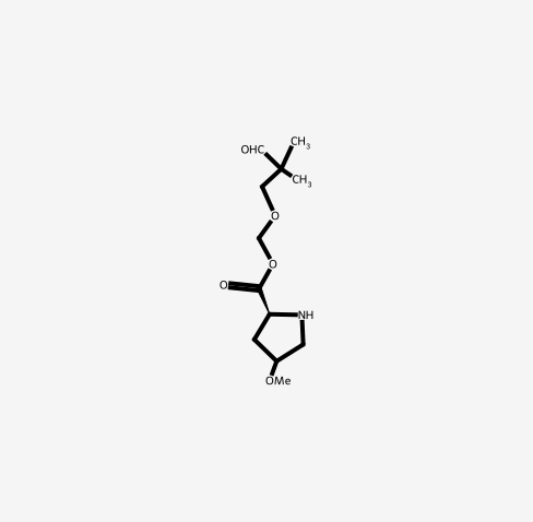 COC1CN[C@H](C(=O)OCOCC(C)(C)C=O)C1